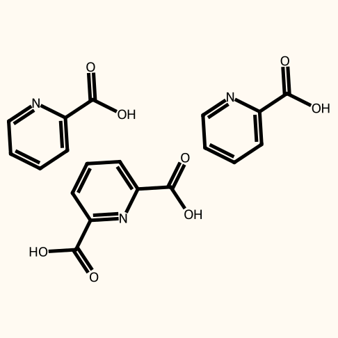 O=C(O)c1cccc(C(=O)O)n1.O=C(O)c1ccccn1.O=C(O)c1ccccn1